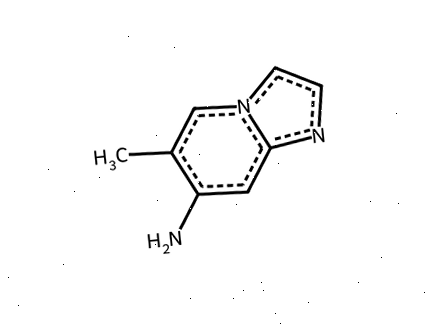 Cc1cn2ccnc2cc1N